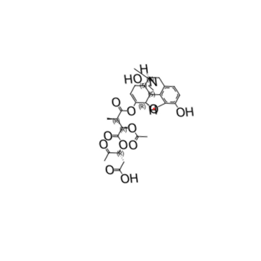 CC(=O)O[C@@H](C(=O)O[C@H](CC(=O)O)C(C)=O)[C@@H](C)C(=O)OC1=CC[C@@]2(O)[C@H]3Cc4ccc(O)c5c4[C@@]2(CCN3C)[C@H]1O5